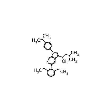 CCc1cccc(CC)c1-c1cc2c(C(O)CC(C)C)cn(-c3ccc(C(C)C)cc3)c2cn1